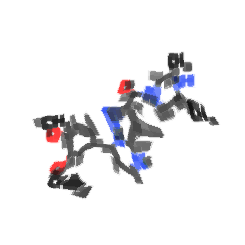 COc1ccc(-c2ccnc3cc(C(=O)N4C[C@@H](C)N[C@@H](C)C4)nn23)cc1OC